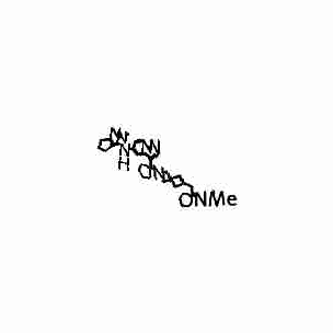 CNC(=O)CC1CC2(C1)CN(C(=O)c1cnn3ccc(Nc4c5c(nn4C)CCC5)cc13)C2